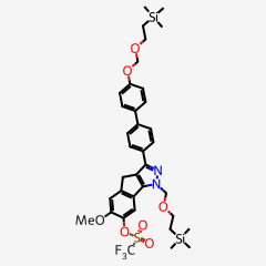 COc1cc2c(cc1OS(=O)(=O)C(F)(F)F)-c1c(c(-c3ccc(-c4ccc(OCOCC[Si](C)(C)C)cc4)cc3)nn1COCC[Si](C)(C)C)C2